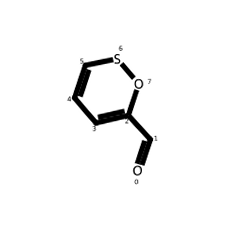 O=CC1=CC=CSO1